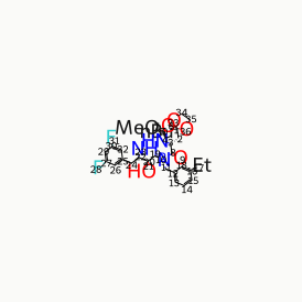 CCCCC1(C[C@@H](NC(=O)OC)C(=O)N(Cc2cccc(CC)c2)C[C@@H](O)[C@@H](N)Cc2cc(F)cc(F)c2)OCCO1